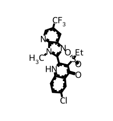 CCS(=O)(=O)c1c(-c2nc3cc(C(F)(F)F)cnc3n2C)[nH]c2ccc(Cl)cc2c1=O